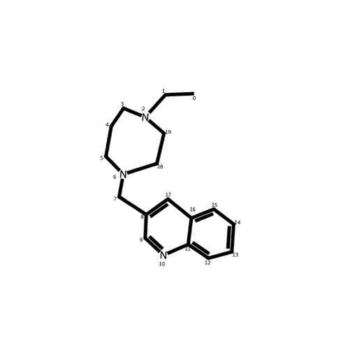 CCN1CCCN(Cc2cnc3ccccc3c2)CC1